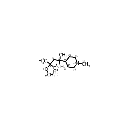 COC(C)(C)CC(C)(C)C1CCN(C)CC1